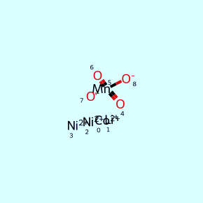 [Co+2].[Li+].[Ni+2].[Ni+2].[O]=[Mn](=[O])([O-])[O-]